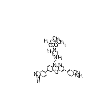 CC(C)(C)OC(=O)N1C[C@@H]2C[C@H]1CN2CCN1c2ccc(-c3ccc4[nH]ncc4c3)cc2Oc2cc(-c3ccc4[nH]ncc4c3)cnc21